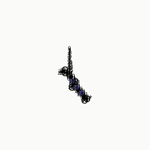 CCCCCCCCCCCCCCCCCCN(CCOC(=O)C(C)(C)CC)c1ccc(/N=N/c2cc(OC)c(/N=N/c3ccc(/N=N/c4ccc([N+](=O)[O-])cc4)cc3)cc2OC)cc1